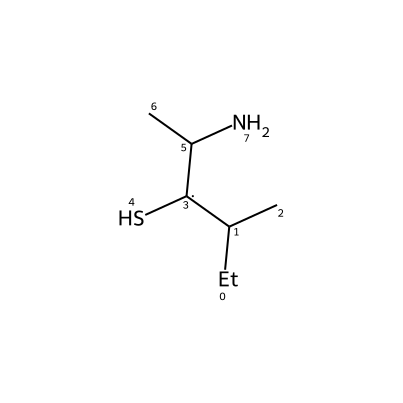 CCC(C)[C](S)C(C)N